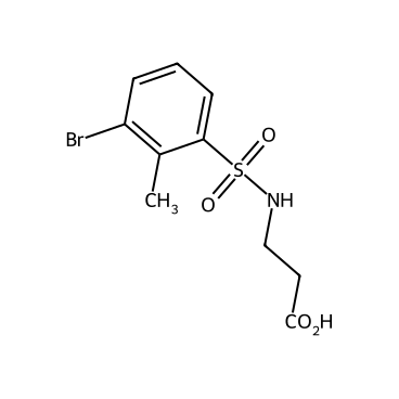 Cc1c(Br)cccc1S(=O)(=O)NCCC(=O)O